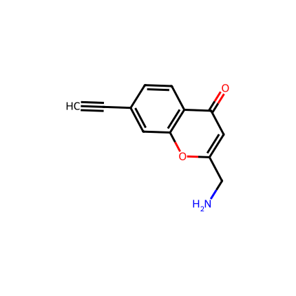 C#Cc1ccc2c(=O)cc(CN)oc2c1